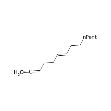 C=C=CCCC=CCCCCCCC